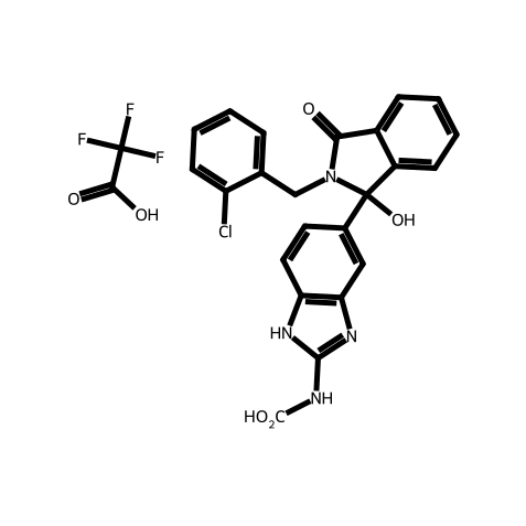 O=C(O)C(F)(F)F.O=C(O)Nc1nc2cc(C3(O)c4ccccc4C(=O)N3Cc3ccccc3Cl)ccc2[nH]1